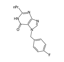 CCCc1nc2ncn(Cc3ccc(F)cc3)c2c(=O)[nH]1